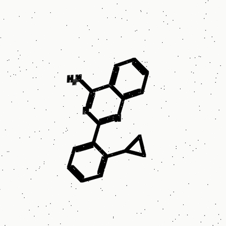 Nc1nc(-c2ccccc2C2CC2)nc2ccccc12